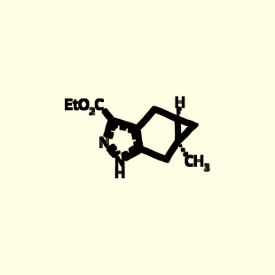 CCOC(=O)c1n[nH]c2c1C[C@H]1C[C@@]1(C)C2